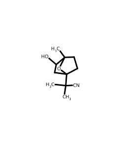 CC12CCC(C(C)(C)C#N)(CC1O)O2